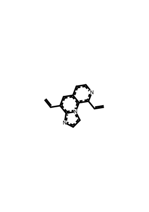 C=Cc1cc2ccnc(C=C)c2n2ccnc12